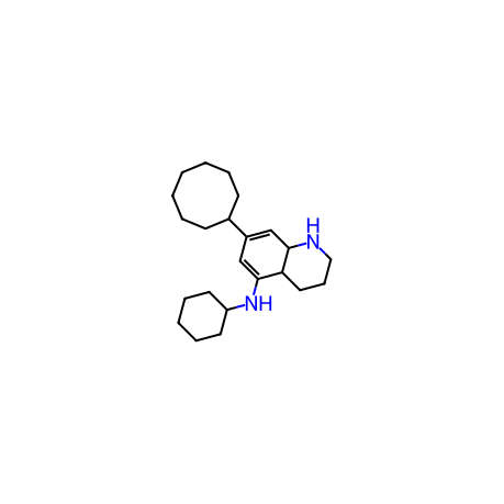 C1=C(C2CCCCCCC2)C=C(NC2CCCCC2)C2CCCNC12